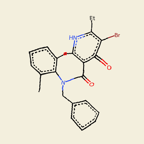 CCc1[nH]c(C)c(C(=O)N(Cc2ccccc2)c2c(C)cccc2C)c(=O)c1Br